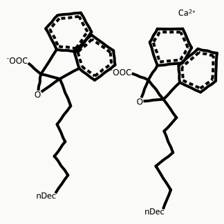 CCCCCCCCCCCCCCCC1(c2ccccc2)OC1(C(=O)[O-])c1ccccc1.CCCCCCCCCCCCCCCC1(c2ccccc2)OC1(C(=O)[O-])c1ccccc1.[Ca+2]